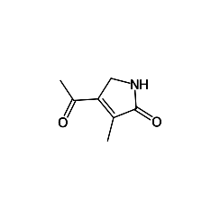 CC(=O)C1=C(C)C(=O)NC1